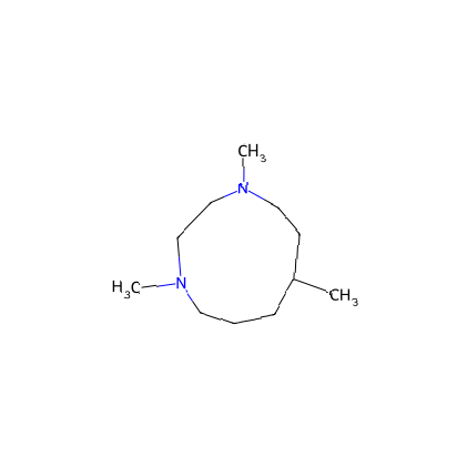 CC1CCCN(C)CCN(C)CC1